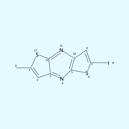 Cc1cc2nc3sc(I)cc3nc2s1